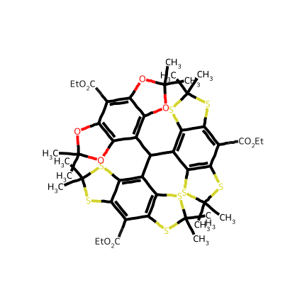 CCOC(=O)c1c2c(c([C](c3c4c(c(C(=O)OCC)c5c3SC(C)(C)S5)SC(C)(C)S4)c3c4c(c(C(=O)OCC)c5c3SC(C)(C)S5)SC(C)(C)S4)c3c1OC(C)(C)O3)OC(C)(C)O2